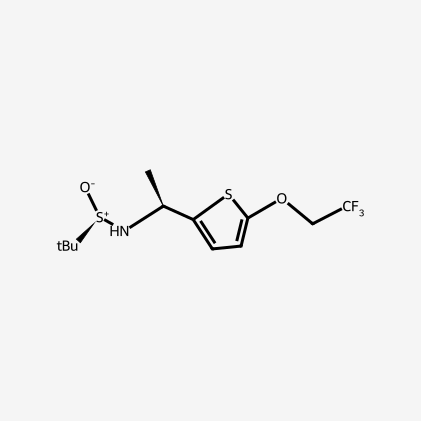 C[C@H](N[S@+]([O-])C(C)(C)C)c1ccc(OCC(F)(F)F)s1